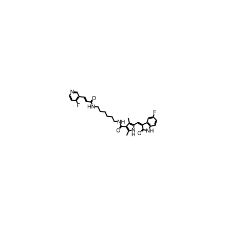 Cc1[nH]c(C=C2C(=O)Nc3ccc(F)cc32)c(C)c1C(=O)NCCCCCCNC(=O)/C=C/c1cnccc1F